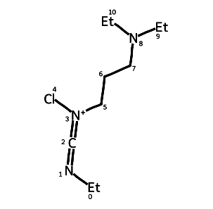 CCN=C=[N+](Cl)CCCN(CC)CC